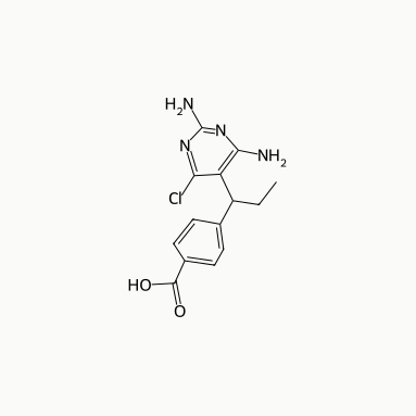 CCC(c1ccc(C(=O)O)cc1)c1c(N)nc(N)nc1Cl